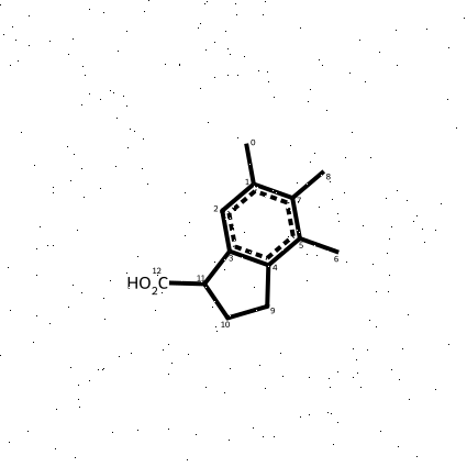 Cc1cc2c(c(C)c1C)CCC2C(=O)O